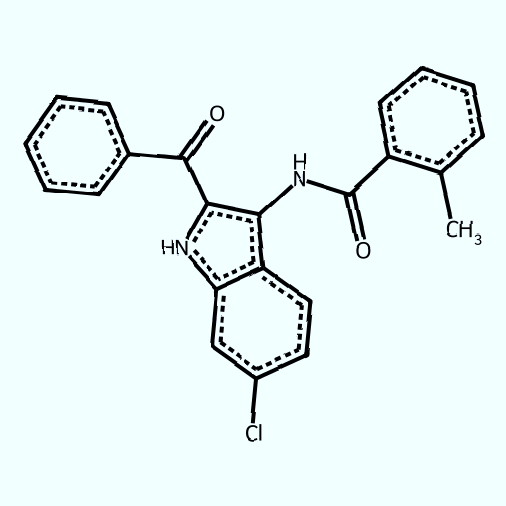 Cc1ccccc1C(=O)Nc1c(C(=O)c2ccccc2)[nH]c2cc(Cl)ccc12